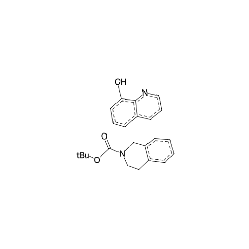 CC(C)(C)OC(=O)N1CCc2ccccc2C1.Oc1cccc2cccnc12